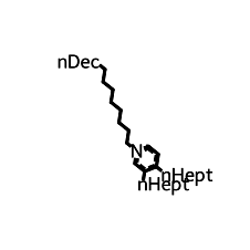 CCCCCCCCCCCCCCCCCC[n+]1ccc(CCCCCCC)c(CCCCCCC)c1